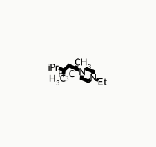 CCN1CCN(C(C)(C)CC(C)C(C)C)CC1